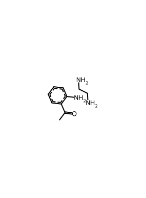 CC(=O)c1ccccc1N.NCCN